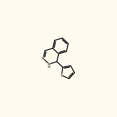 C1=NNC(c2cccs2)c2ccccc21